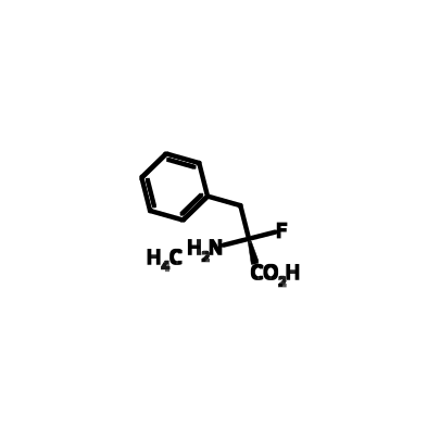 C.N[C@@](F)(Cc1ccccc1)C(=O)O